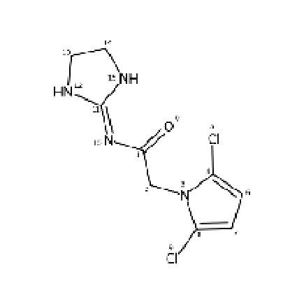 O=C(Cn1c(Cl)ccc1Cl)N=C1NCCN1